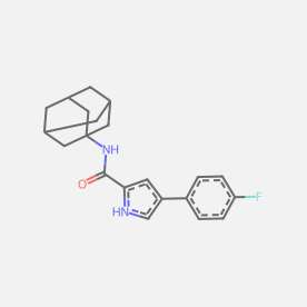 O=C(NC12CC3CC(CC(C3)C1)C2)c1cc(-c2ccc(F)cc2)c[nH]1